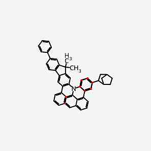 CC1(C)c2cc(-c3ccccc3)ccc2-c2cc(-c3ccccc3)c(N(c3ccc(C4CC5CCC4C5)cc3)c3cccc4cccc(C5CCCCC5)c34)cc21